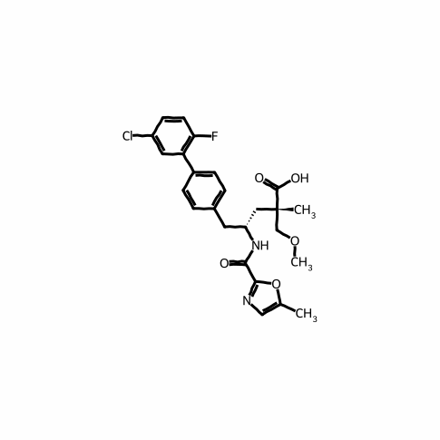 COC[C@](C)(C[C@@H](Cc1ccc(-c2cc(Cl)ccc2F)cc1)NC(=O)c1ncc(C)o1)C(=O)O